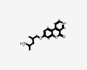 CC(N)CC(C)COc1ccc2c(c1)oc(=O)c1cnccc12